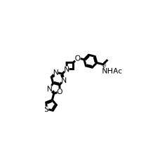 CC(=O)N[C@@H](C)c1ccc(OC2CN(c3ncc4nc(-c5ccsc5)oc4n3)C2)cc1